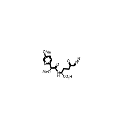 COc1ccc([C@H](OC)C(=O)N[C@@H](CCC(=O)C=[N+]=[N-])C(=O)O)nc1